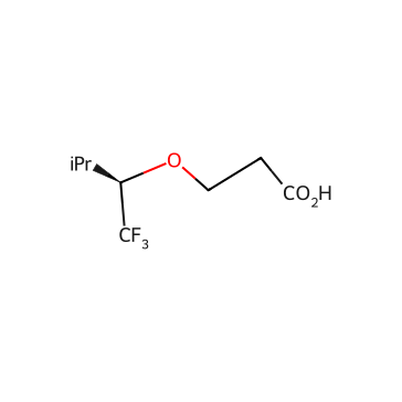 CC(C)[C@@H](OCCC(=O)O)C(F)(F)F